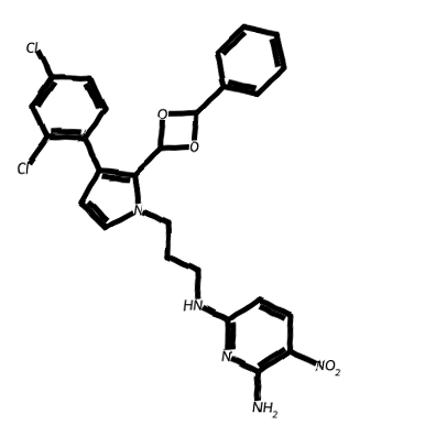 Nc1nc(NCCCn2ccc(-c3ccc(Cl)cc3Cl)c2C2OC(c3ccccc3)O2)ccc1[N+](=O)[O-]